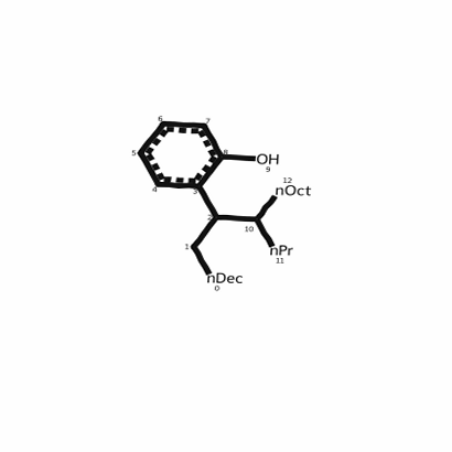 CCCCCCCCCCCC(c1ccccc1O)C(CCC)CCCCCCCC